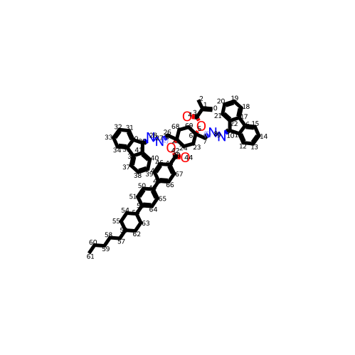 C=C(C)C(=O)OC1(/C=N/N=C2c3ccccc3-c3ccccc32)CCC(/C=N/N=C2c3ccccc3-c3ccccc32)(OC(=O)c2ccc(-c3ccc(C4CCC(CCCCC)CC4)cc3)cc2)CC1